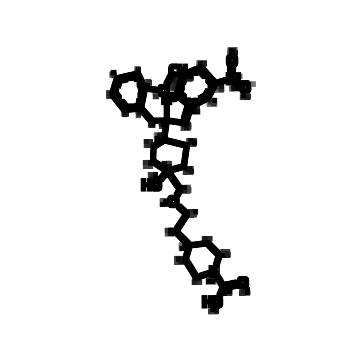 COc1ccccc1CC1(C2CCC(O)(COCCC3CCN(C(=O)O)CC3)CC2)C=c2cc([N+](=O)[O-])ccc2=N1